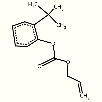 C=CCOC(=O)Oc1ccccc1C(C)(C)C